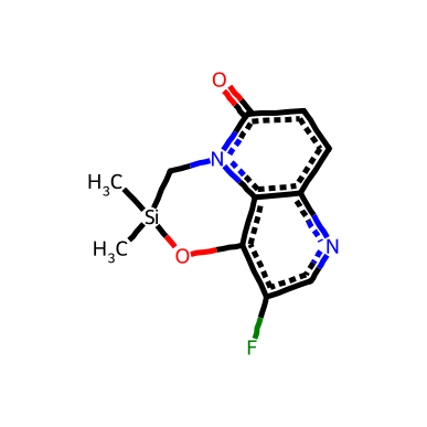 C[Si]1(C)Cn2c(=O)ccc3ncc(F)c(c32)O1